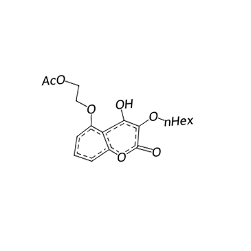 CCCCCCOc1c(O)c2c(OCCOC(C)=O)cccc2oc1=O